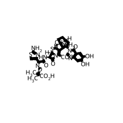 C[C@@H]1S[C@@H]2[C@H](NC(=O)/C(=N\OC(C)(C)C(=O)O)c3csc(N)n3)C(=O)N2C(C(=O)[O-])=C1C[N@@+]1(C)[C@@H]2CC[C@H]1CC(n1cnc3cc(O)c(O)cc3c1=O)C2